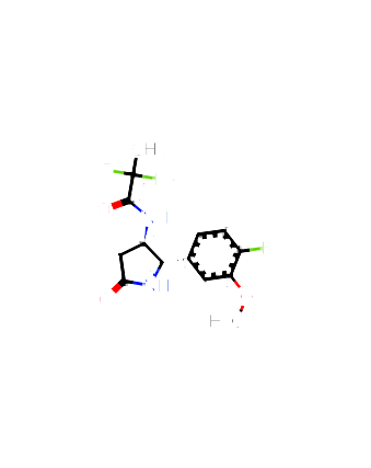 COc1cc([C@@H]2NC(=O)C[C@H]2NC(=O)C(C)(F)F)ccc1F